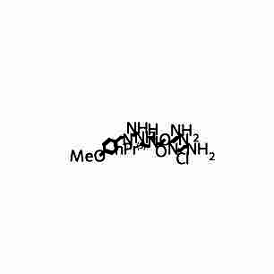 CCC[C@@H](CNC(=O)Oc1nc(Cl)c(N)nc1N)NC(N)=NCc1ccc(OC)cc1